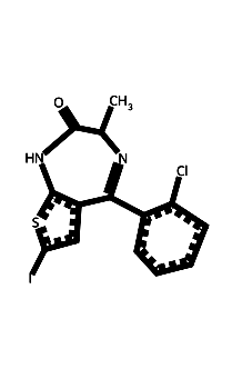 CC1N=C(c2ccccc2Cl)c2cc(I)sc2NC1=O